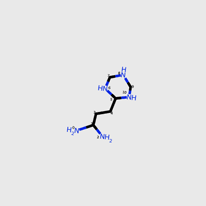 NC(N)CCC1NCNCN1